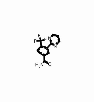 NC(=O)c1ccc(C(F)(F)F)c(-c2ncccn2)c1